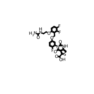 NC(=O)NCCOc1ccc(F)c(F)c1COc1ccc(F)c(-n2c(=O)[nH]c3csc(C(=O)O)c3c2=O)c1